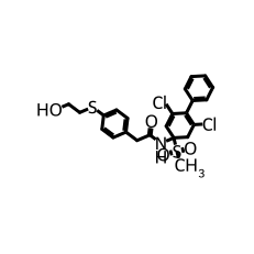 CS(=O)(=O)C1(NC(=O)Cc2ccc(SCCO)cc2)C=C(Cl)C(c2ccccc2)=C(Cl)C1